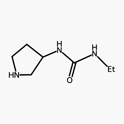 CCNC(=O)NC1CCNC1